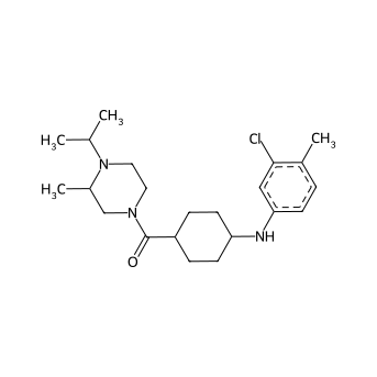 Cc1ccc(NC2CCC(C(=O)N3CCN(C(C)C)C(C)C3)CC2)cc1Cl